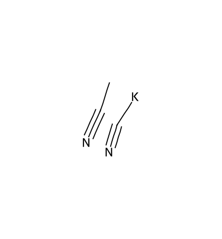 CC#N.N#[C][K]